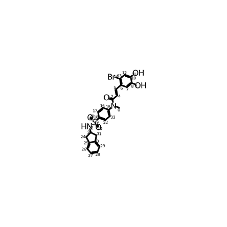 CN(C(=O)C=Cc1cc(O)c(O)cc1Br)c1ccc(S(=O)(=O)NC2Cc3ccccc3C2)cc1